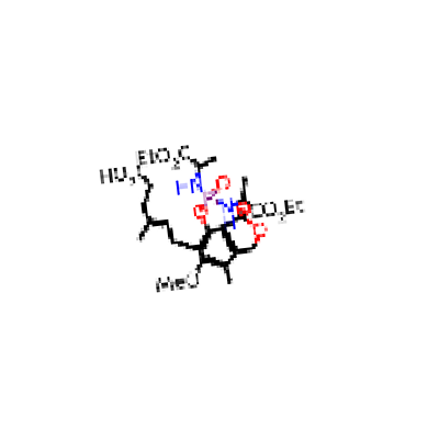 CCOC(=O)C(C)NP(=O)(NC(C)C(=O)OCC)Oc1c(C/C=C(\C)CCC(=O)O)c(OC)c(C)c2c1C(=O)OC2